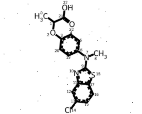 CC(Oc1ccc(N(C)c2nc3cc(Cl)ccc3s2)cc1)C(=O)O